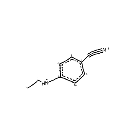 CCNc1ccc(C#N)cc1